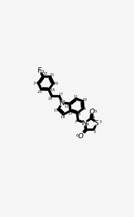 O=C1CSC(=O)N1Cc1cccc2c1ccn2CCc1ccc(F)cc1